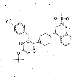 CC(C)(C)OC(=O)N[C@H](Cc1ccc(Cl)cc1)C(=O)N1CCN(C(CNS(C)(=O)=O)c2ccccc2F)CC1